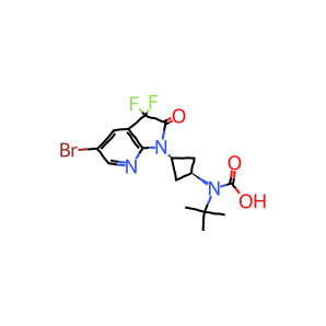 CC(C)(C)N(C(=O)O)[C@H]1C[C@H](N2C(=O)C(F)(F)c3cc(Br)cnc32)C1